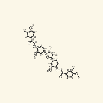 COc1ccc(C(=O)COc2ccc(C3OC(c4ccc(OCC(=O)c5ccc(OC)c(C)c5)c(OC)c4)[C@H](C)[C@H]3C)cc2OC)cc1C